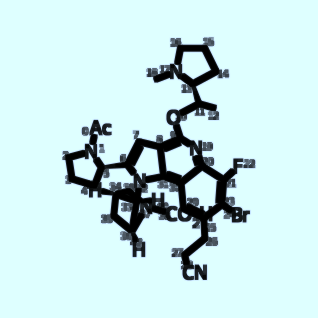 CC(=O)N1CCC[C@@H]1c1cc2c(OC(C)[C@@H]3CCCN3C)nc3c(F)c(Br)c(CCC#N)cc3c2n1[C@H]1[C@@H]2C[C@H]1N(C(=O)O)C2